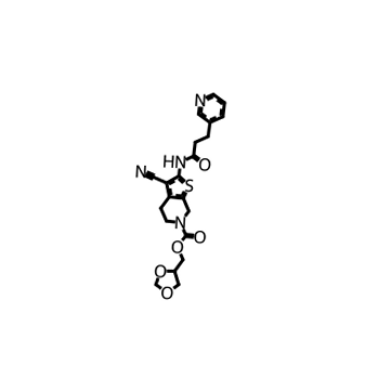 N#Cc1c(NC(=O)CCc2cccnc2)sc2c1CCN(C(=O)OCC1COCO1)C2